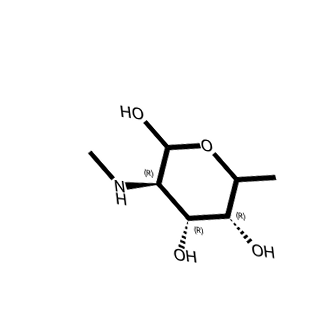 CN[C@H]1C(O)OC(C)[C@H](O)[C@@H]1O